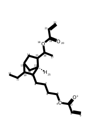 C=CC(=O)OCCCCC1C(CC)C2CC(C(C)OC(=O)C=C)[C@@H]1C2